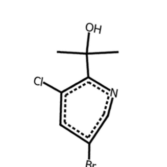 CC(C)(O)c1ncc(Br)cc1Cl